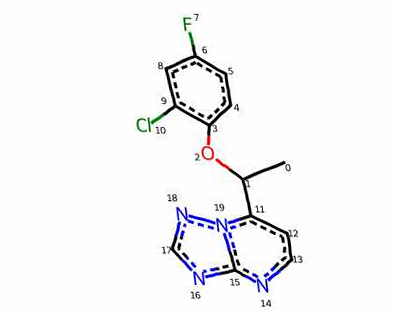 CC(Oc1ccc(F)cc1Cl)c1ccnc2ncnn12